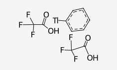 O=C(O)C(F)(F)F.O=C(O)C(F)(F)F.[Tl][c]1ccccc1